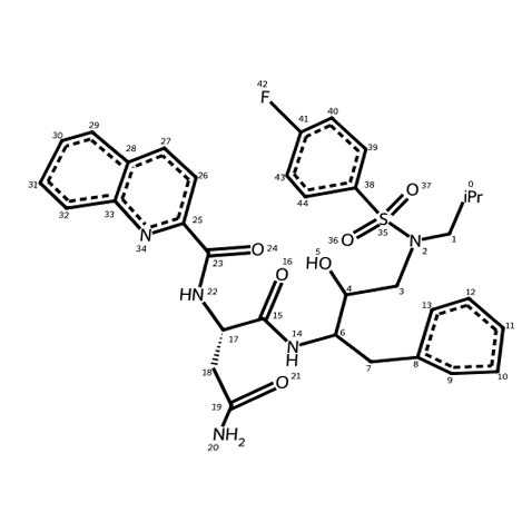 CC(C)CN(CC(O)C(Cc1ccccc1)NC(=O)[C@H](CC(N)=O)NC(=O)c1ccc2ccccc2n1)S(=O)(=O)c1ccc(F)cc1